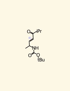 CC(/C=C/C(=O)C(C)C)NC(=O)OC(C)(C)C